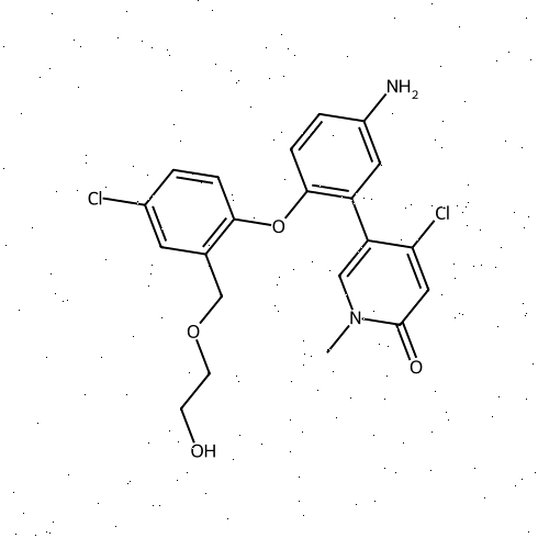 Cn1cc(-c2cc(N)ccc2Oc2ccc(Cl)cc2COCCO)c(Cl)cc1=O